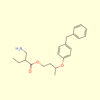 CCC(CN)C(=O)OCCC(C)Oc1ccc(Cc2ccccc2)cc1